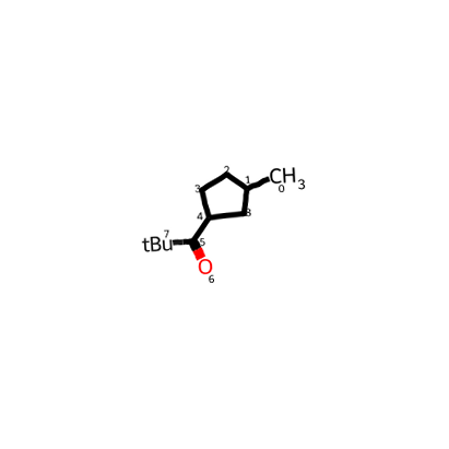 CC1CCC(C(=O)C(C)(C)C)C1